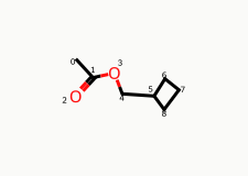 CC(=O)OCC1CCC1